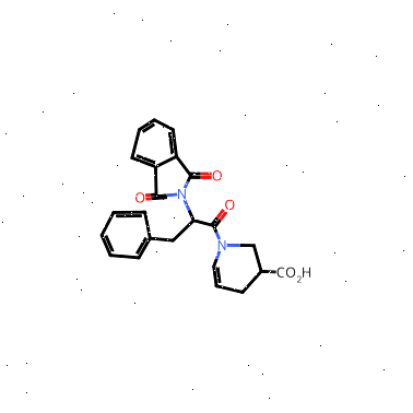 O=C(O)C1CC=CN(C(=O)C(Cc2ccccc2)N2C(=O)c3ccccc3C2=O)C1